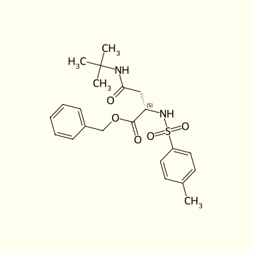 Cc1ccc(S(=O)(=O)N[C@@H](CC(=O)NC(C)(C)C)C(=O)OCc2ccccc2)cc1